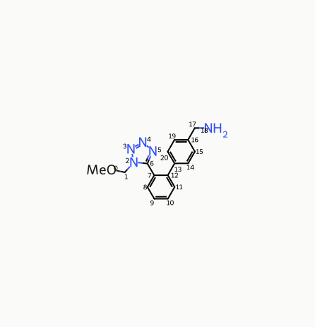 COCn1nnnc1-c1ccccc1-c1ccc(CN)cc1